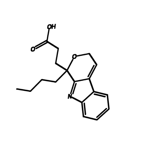 CCCCC1(CCC(=O)O)OCC=C2C1=Nc1ccccc12